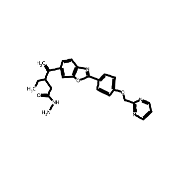 C=C(c1ccc2nc(-c3ccc(OCc4ncccn4)cc3)oc2c1)C(CC)CC(=O)NN